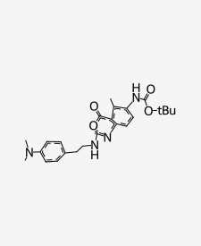 Cc1c(NC(=O)OC(C)(C)C)ccc2nc(NCCc3ccc(N(C)C)cc3)oc(=O)c12